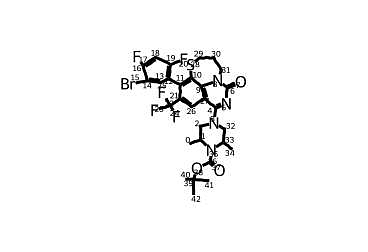 CC1CN(c2nc(=O)n3c4c(c(-c5cc(Br)c(F)cc5F)c(C(F)(F)F)cc24)SCCC3)CC(C)N1C(=O)OC(C)(C)C